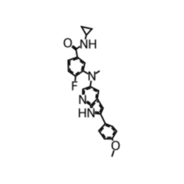 COc1ccc(-c2cc3cc(N(C)c4cc(C(=O)NC5CC5)ccc4F)cnc3[nH]2)cc1